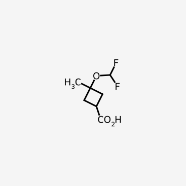 CC1(OC(F)F)CC(C(=O)O)C1